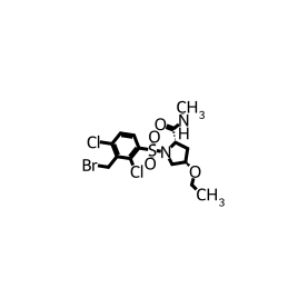 CCO[C@@H]1C[C@@H](C(=O)NC)N(S(=O)(=O)c2ccc(Cl)c(CBr)c2Cl)C1